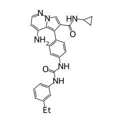 CCc1cccc(NC(=O)Nc2ccc(-c3c(C(=O)NC4CC4)cn4nccc(N)c34)cc2)c1